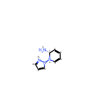 N[C@@H]1C=CC=CN1n1cccn1